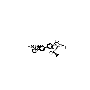 CC(=O)N1c2ccc(-c3ccc(N4CCCS4(O)O)cc3)cc2N(C(=O)C2CC2)CC1C